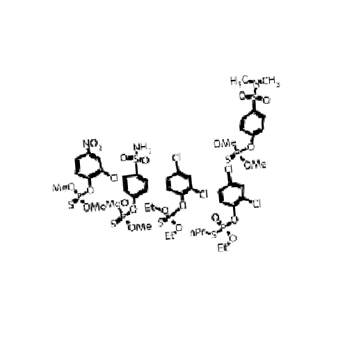 CCCSP(=O)(OCC)Oc1ccc(Cl)cc1Cl.CCOP(=S)(OCC)Oc1ccc(Cl)cc1Cl.COP(=S)(OC)Oc1ccc(S(=O)(=O)N(C)C)cc1.COP(=S)(OC)Oc1ccc(S(N)(=O)=O)cc1.COP(=S)(OC)Oc1ccc([N+](=O)[O-])cc1Cl